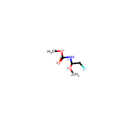 COC(=O)NC(CF)OC